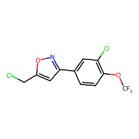 FC(F)(F)Oc1ccc(-c2cc(CCl)on2)cc1Cl